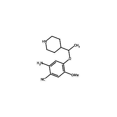 COc1cc(C#N)c(N)cc1OC(C)C1CCNCC1